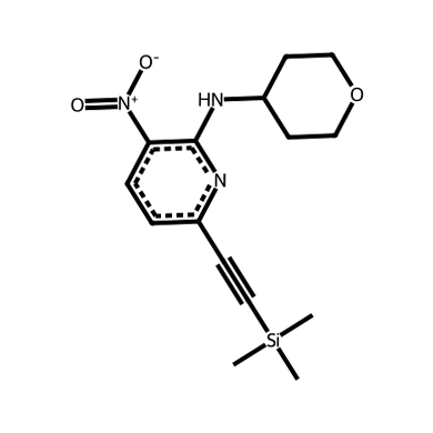 C[Si](C)(C)C#Cc1ccc([N+](=O)[O-])c(NC2CCOCC2)n1